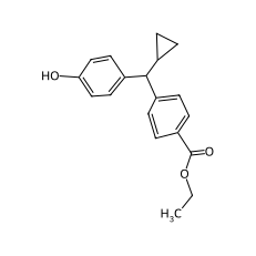 CCOC(=O)c1ccc(C(c2ccc(O)cc2)C2CC2)cc1